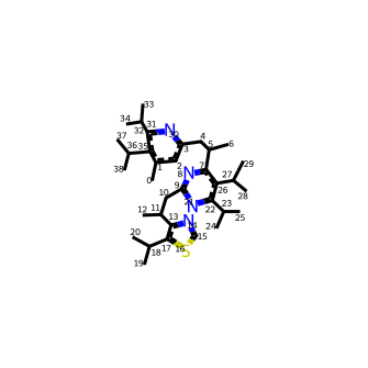 Cc1cc(CC(C)c2nc(CC(C)c3ncsc3C(C)C)nc(C(C)C)c2C(C)C)nc(C(C)C)c1C(C)C